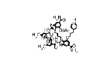 CCn1nc(C)cc1C(=O)Nc1nc2cc(C(N)=O)cc(OC)c2n1C/C=C/Cn1c(NC(=O)c2cc(C)nn2CC)nc2cc(C(N)=O)cc(OCCCC3CCNCC3)c21